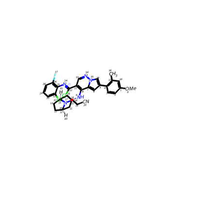 COc1ccc(-c2cc3c(N[C@@H]4C[C@H]5CC[C@@H](C4)N5CCC#N)c(/C(Cl)=N/c4c(F)cccc4Cl)cnn3c2)c(C)c1